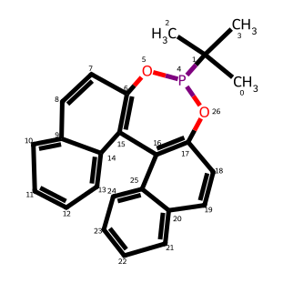 CC(C)(C)p1oc2ccc3ccccc3c2c2c(ccc3ccccc32)o1